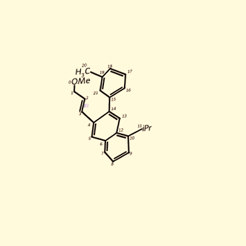 COC/C=C/c1cc2cccc(C(C)C)c2cc1-c1cccc(C)c1